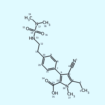 CCc1c(C#N)c(-c2ccc(CCNS(=O)(=O)N(C)C)cc2)c(C(=O)O)n1C